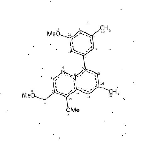 COCc1cnc2c(-c3cc(C)cc(OC)c3)cc(C)cc2c1OC